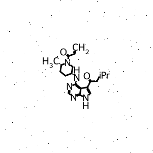 C=CC(=O)N1C[C@H](Nc2ncnc3[nH]cc(C(=O)CC(C)C)c23)CC[C@@H]1C